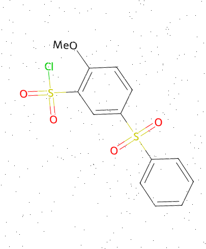 COc1ccc(S(=O)(=O)c2ccccc2)cc1S(=O)(=O)Cl